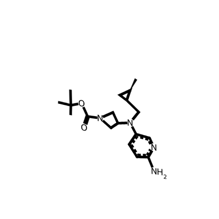 C[C@@H]1CC1CN(c1ccc(N)nc1)C1CN(C(=O)OC(C)(C)C)C1